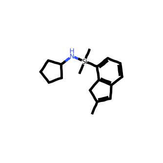 CC1=Cc2cccc([Si](C)(C)NC3CCCC3)c2C1